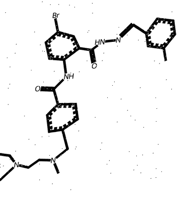 CCN(CC)CCN(C)Cc1ccc(C(=O)Nc2ccc(Br)cc2C(=O)NN=Cc2cccc(C)c2)cc1